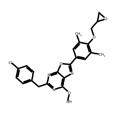 CCCOc1nc(Cc2ccc(Cl)cc2)nc2oc(-c3cc(C)c(OCC4CO4)c(C)c3)nc12